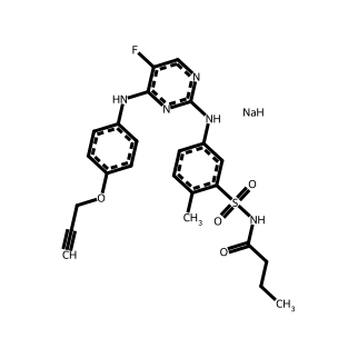 C#CCOc1ccc(Nc2nc(Nc3ccc(C)c(S(=O)(=O)NC(=O)CCC)c3)ncc2F)cc1.[NaH]